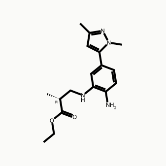 CCOC(=O)[C@H](C)CNc1cc(-c2cc(C)nn2C)ccc1N